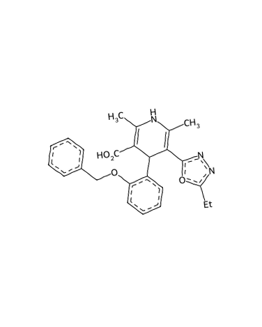 CCc1nnc(C2=C(C)NC(C)=C(C(=O)O)C2c2ccccc2OCc2ccccc2)o1